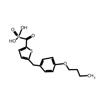 CCCCOc1ccc(Cc2ccc(C(=O)P(=O)(O)O)s2)cc1